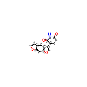 O=C1CC[C@@H](c2coc3cc4occc4cc23)C(=O)N1